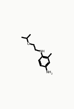 Cc1cc(N)ccc1NCCOC(C)C